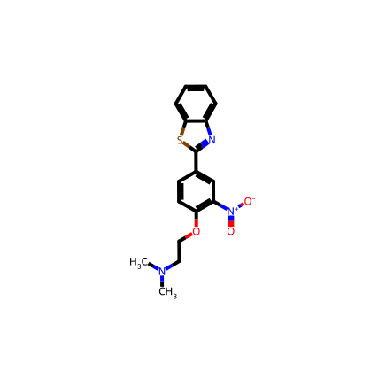 CN(C)CCOc1ccc(-c2nc3ccccc3s2)cc1[N+](=O)[O-]